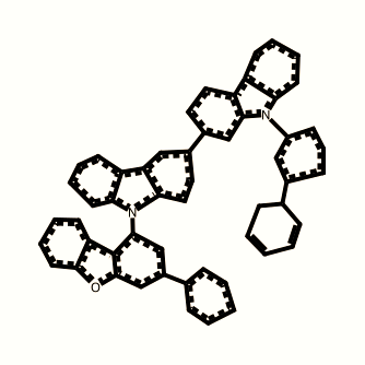 C1=CCC(c2cccc(-n3c4ccccc4c4ccc(-c5ccc6c(c5)c5ccccc5n6-c5cc(-c6ccccc6)cc6oc7ccccc7c56)cc43)c2)C=C1